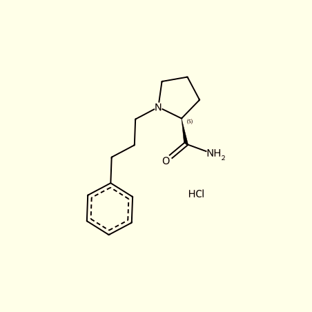 Cl.NC(=O)[C@@H]1CCCN1CCCc1ccccc1